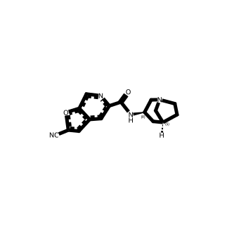 N#Cc1cc2cc(C(=O)N[C@@H]3C[C@@H]4CCN(C4)C3)ncc2o1